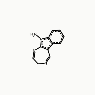 Nn1c2c(c3ccccc31)C=NCC=N2